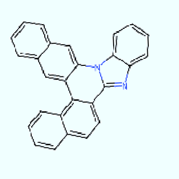 c1ccc2cc3c(cc2c1)c1c2ccccc2ccc1c1nc2ccccc2n31